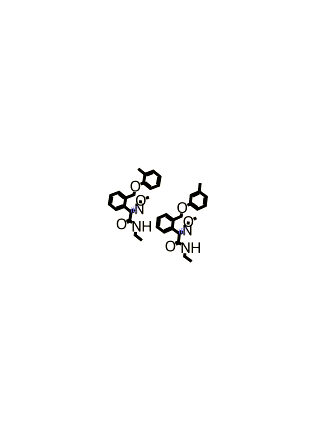 CCNC(=O)/C(=N/OC)c1ccccc1COc1cccc(C)c1.CCNC(=O)/C(=N/OC)c1ccccc1COc1ccccc1C